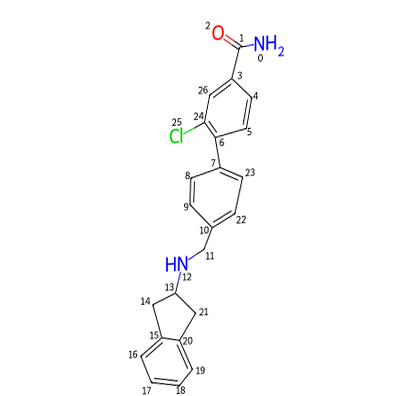 NC(=O)c1ccc(-c2ccc(CNC3Cc4ccccc4C3)cc2)c(Cl)c1